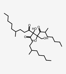 CCCCCC(C)CCC(=O)C(O)(C(=O)CCC(C)CCCCC)C(O)(CO)C(=O)C(C)CCCCC